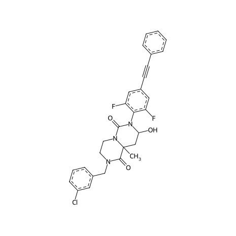 CC12CC(O)N(c3c(F)cc(C#Cc4ccccc4)cc3F)C(=O)N1CCN(Cc1cccc(Cl)c1)C2=O